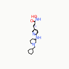 O=C(/C=C/c1ccc(N[C@@H]2CCCN(CC3CCCCC3)C2)nc1)NO